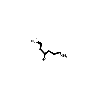 [2H]C([CH]C=C)CCCC